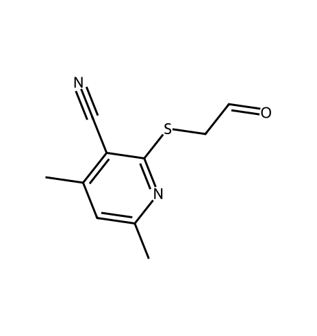 Cc1cc(C)c(C#N)c(SCC=O)n1